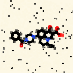 CC1CCc2c(N3CCN(C(=O)c4ccccc4)CC3)ccc3c(=O)c(C(=O)O)cn1c23